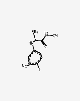 CCCCC(Nc1ccc(F)c(C#N)c1)C(=O)NO